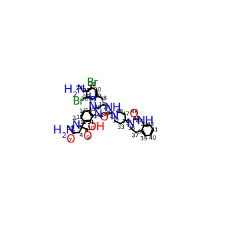 CN(C)C(CC(N)=O)(C(=O)O)c1ccc2[nH]c([C@@H](Cc3cc(Br)c(N)c(Br)c3)NC(=O)N3CCC(N4CCc5ccccc5NC4=O)CC3)nc2c1